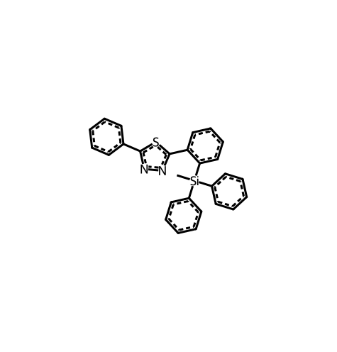 C[Si](c1ccccc1)(c1ccccc1)c1ccccc1-c1nnc(-c2ccccc2)s1